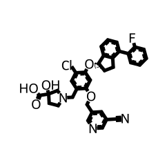 N#Cc1cncc(COc2cc(O[C@H]3CCc4c(-c5ccccc5F)cccc43)c(Cl)cc2CN2CCC(O)(C(=O)O)C2)c1